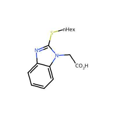 CCCCCCSc1nc2ccccc2n1CC(=O)O